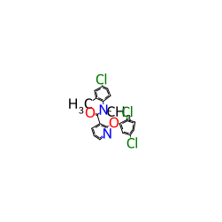 Cc1cc(Cl)ccc1N(C)C(=O)c1cccnc1Oc1cc(Cl)ccc1Cl